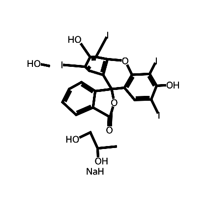 CC(O)CO.CO.O=C1OC2(c3ccccc31)c1cc(I)c(O)c(I)c1Oc1c2cc(I)c(O)c1I.[NaH]